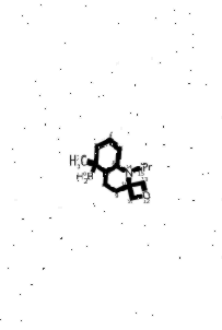 BC1(C)CCCC2C1CCC1(COC1)N2C(C)C